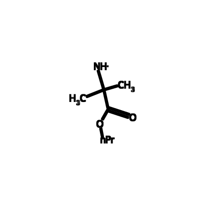 CCCOC(=O)C(C)(C)[NH]